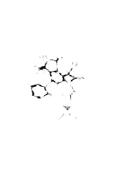 COc1ccccc1-c1cc2c(c(Br)c(C=O)n2CCO[Si](C)(C)C(C)(C)C)c2c1C(=O)NC2=O